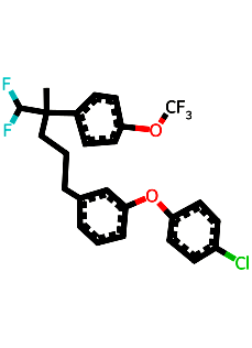 CC(CCCc1cccc(Oc2ccc(Cl)cc2)c1)(c1ccc(OC(F)(F)F)cc1)C(F)F